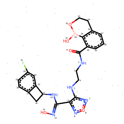 O=C(NCCNc1nonc1/C(=N/O)N[C@H]1Cc2ccc(F)cc21)c1cccc2c1B(O)OCC2